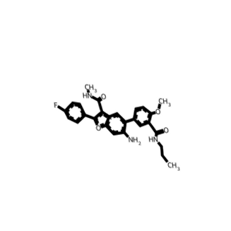 CCCNC(=O)c1cc(-c2cc3c(C(=O)NC)c(-c4ccc(F)cc4)oc3cc2N)ccc1OC